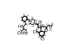 COCC(C)NCc1ccccc1N1CCN(C(=O)CC(NC(=O)CN(C)C)c2ccc(Cl)cc2Cl)CC1